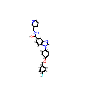 O=C(NCc1cccnc1)c1ccc2c(c1)ncn2-c1ccc(OCc2ccc(F)cc2)cc1